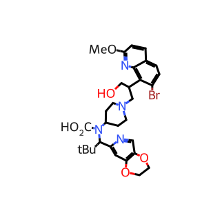 COc1ccc2ccc(Br)c(C(CO)CN3CCC(N(C(=O)O)C(c4cc5c(cn4)OCCO5)C(C)(C)C)CC3)c2n1